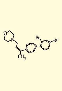 C/C(=C/CN1CCOCC1)c1ccc(-c2ccc(Br)cc2Br)cc1